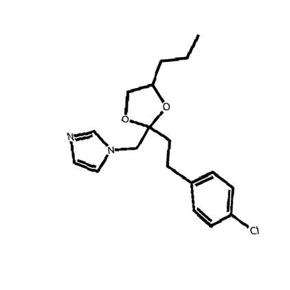 CCCC1COC(CCc2ccc(Cl)cc2)(Cn2ccnc2)O1